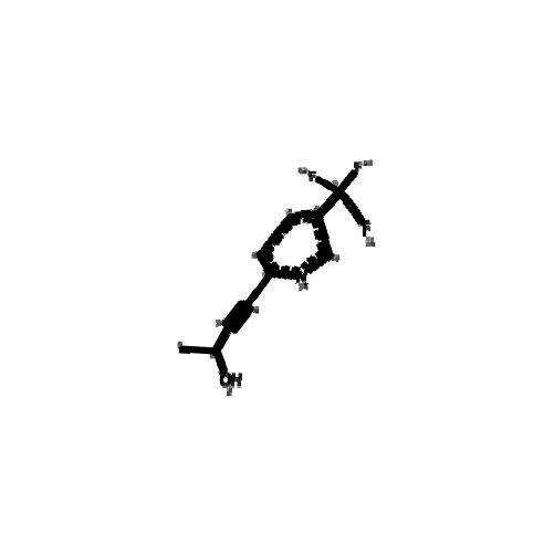 CC(O)C#Cc1ccc(C(F)(F)F)cn1